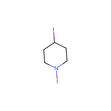 IC1CCN(I)CC1